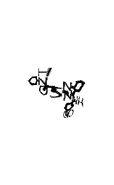 O=C(CSc1nc(Nc2ccc3c(c2)OCO3)c2ccccc2n1)NC1CCCCC1